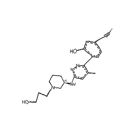 CC#Cc1ccc(-c2nnc(N[C@@H]3CCCN(CCCO)C3)cc2C)c(O)c1